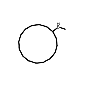 CBC1CCCCCCCCCCCCCCC1